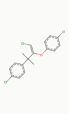 CC(C)(C(=CCl)Oc1ccc(Cl)cc1)c1ccc(Cl)cc1